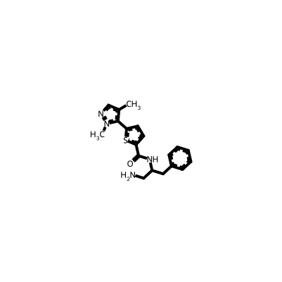 Cc1cnn(C)c1-c1ccc(C(=O)NC(CN)Cc2ccccc2)s1